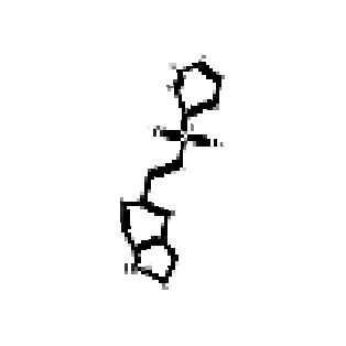 O=S(=O)(C=Cc1ccc2c(c1)CCN2)c1ccccc1